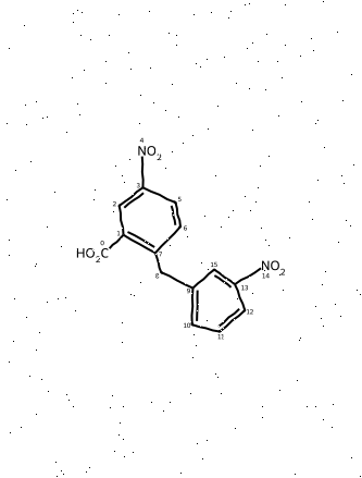 O=C(O)c1cc([N+](=O)[O-])ccc1Cc1cccc([N+](=O)[O-])c1